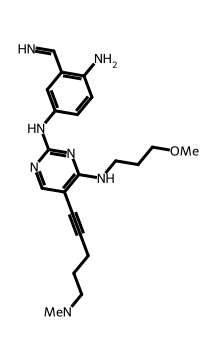 CNCCCC#Cc1cnc(Nc2ccc(N)c(C=N)c2)nc1NCCCOC